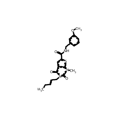 CCC=CCn1c(=O)c2cc(C(=O)NCc3cccc(OC)c3)sc2n(C)c1=O